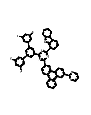 Fc1cc(F)cc(-c2cc(-c3cc(F)cc(F)c3)cc(-c3nc(-c4ccc5c6ccccc6c6cc(-c7ncccn7)ccc6c5c4)nc(-c4cccc5c4sc4ccccc45)n3)c2)c1